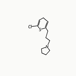 ClC1=CCC=C(CCCN2CCCC2)S1